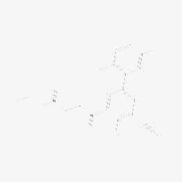 CCOC(=O)CCC(=O)c1nc(-c2cc(OC)ccc2Cl)cc(C#N)c1O